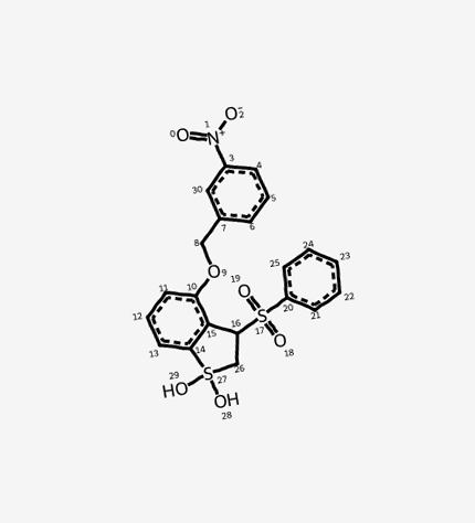 O=[N+]([O-])c1cccc(COc2cccc3c2C(S(=O)(=O)c2ccccc2)CS3(O)O)c1